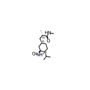 CNC(=O)[C@@H](C)C[C@H]1CC[C@@H](C(C)C)/C(=[NH+]/[O-])C1